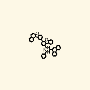 c1ccc(-c2nc(-c3cc4ccccc4c4ccccc34)nc(-c3ccc(-c4ccc5oc6ccc7ccccc7c6c5c4)c4oc5ccccc5c34)n2)cc1